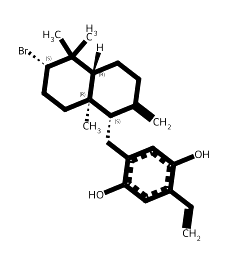 C=Cc1cc(O)c(C[C@H]2C(=C)CC[C@H]3C(C)(C)[C@@H](Br)CC[C@]23C)cc1O